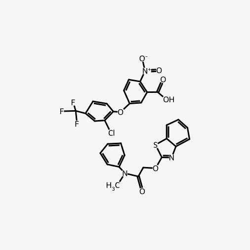 CN(C(=O)COc1nc2ccccc2s1)c1ccccc1.O=C(O)c1cc(Oc2ccc(C(F)(F)F)cc2Cl)ccc1[N+](=O)[O-]